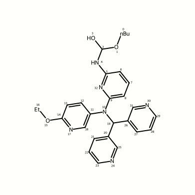 CCCCOC(O)Nc1cccc(N(c2ccc(OCC)nc2)C(c2cccnc2)c2cccnc2)n1